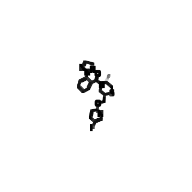 C[C@@H]1CS[C@@H](COc2ccc(F)cn2)CN1C(=O)c1ccccc1-n1nccn1